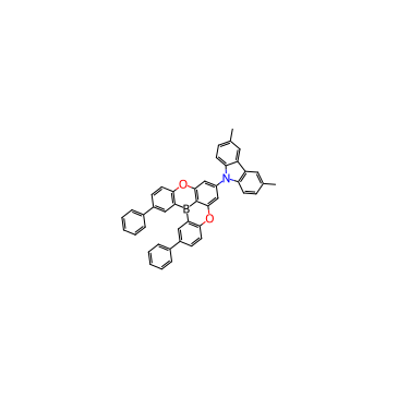 Cc1ccc2c(c1)c1cc(C)ccc1n2-c1cc2c3c(c1)Oc1ccc(-c4ccccc4)cc1B3c1cc(-c3ccccc3)ccc1O2